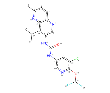 Cc1ccc2ncc(NC(=O)Nc3cnc(OC(F)F)c(Cl)c3)c(C(C)C)c2n1